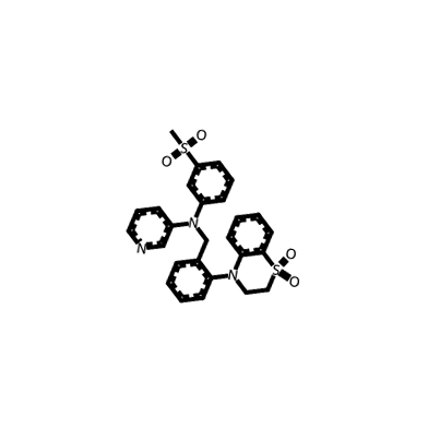 CS(=O)(=O)c1cccc(N(Cc2ccccc2N2CCS(=O)(=O)c3ccccc32)c2cccnc2)c1